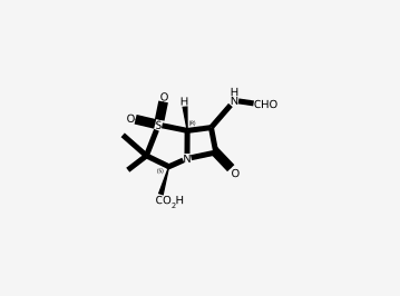 CC1(C)[C@H](C(=O)O)N2C(=O)C(NC=O)[C@H]2S1(=O)=O